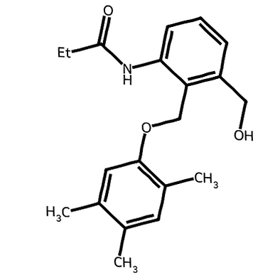 CCC(=O)Nc1cccc(CO)c1COc1cc(C)c(C)cc1C